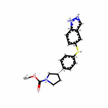 CC(C)(C)OC(=O)N1CC[C@@H](c2ccc(Sc3ccc4[nH]ncc4c3)cc2)C1